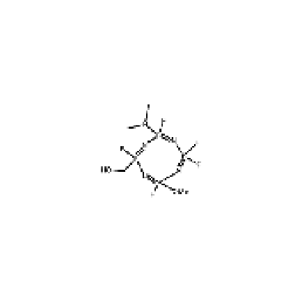 COP1(F)=NP(F)(CO)=NP(F)(N(C)C)=NP(F)(F)=N1